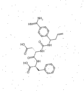 C=CCC(NC(=O)N[C@@H](CC(=O)O)C(=O)N[C@@H](Cc1ccccc1)C(=O)O)c1ccc(C(=N)N)cc1